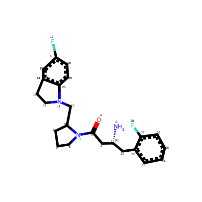 N[C@@H](CC(=O)N1CCCC1CN1CCc2cc(F)ccc21)Cc1ccccc1F